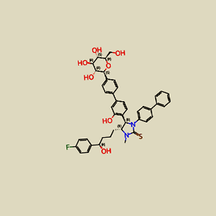 CN1C(=S)N(c2ccc(-c3ccccc3)cc2)[C@H](c2ccc(-c3ccc([C@@H]4O[C@H](CO)[C@@H](O)[C@H](O)[C@H]4O)cc3)cc2O)[C@H]1CCC[C@@H](O)c1ccc(F)cc1